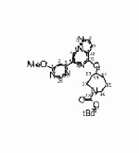 COc1cc(-c2cn3nccc3c(OC3CCCN(C(=O)OC(C)(C)C)CC3)n2)ncn1